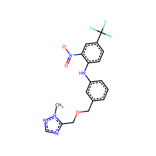 Cn1ncnc1COCc1cccc(Nc2ccc(C(F)(F)F)cc2[N+](=O)[O-])c1